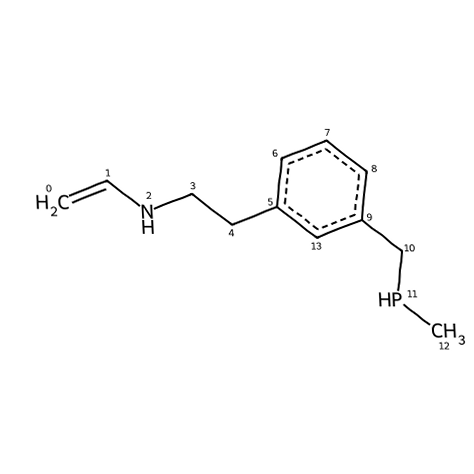 C=CNCCc1cccc(CPC)c1